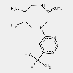 C=C1CN(c2cc(C(C)(C)F)ccn2)CC(C)C(N)CN1